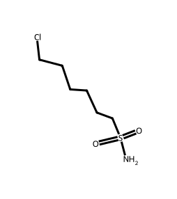 NS(=O)(=O)CCCCCCCl